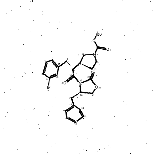 CC(C)(C)OC(=O)N1CC[C@@H]([C@@H](Cc2cccc(Br)c2)C(=O)N2C(=O)OC[C@H]2Cc2ccccc2)C1